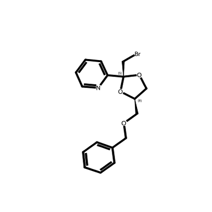 BrC[C@@]1(c2ccccn2)OC[C@@H](COCc2ccccc2)O1